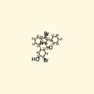 O=C(c1ccc(O)c(Br)c1)c1c(-c2ccccc2)c(Br)c2ccccn12